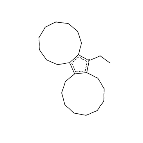 CCp1c2c(c3c1CCCCCCCCC3)CCCCCCCCC2